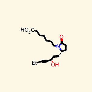 CCC#C[C@H](O)/C=C/[C@H]1CCC(=O)N1CCCCCCC(=O)O